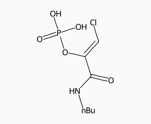 CCCCNC(=O)C(=CCl)OP(=O)(O)O